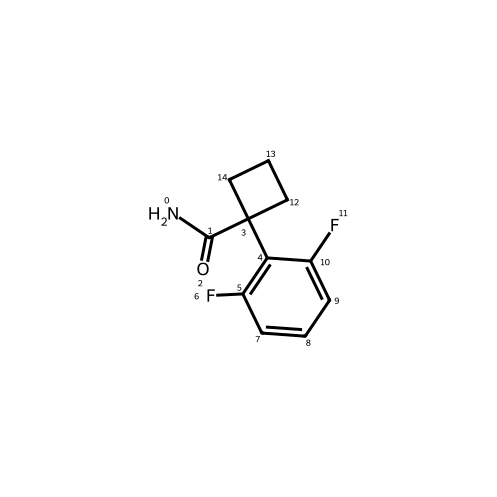 NC(=O)C1(c2c(F)cccc2F)CCC1